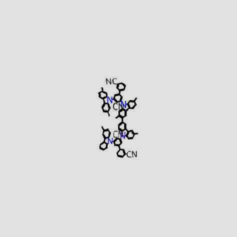 Cc1ccc2c(c1)c1ccccc1n2-c1cc(-c2cccc(C#N)c2)cc(-n2c3ccc(C)cc3c3cc(-c4cc5c6ccc(C)cc6n(-c6cc(-c7cccc(C#N)c7)cc(-n7c8cc(C)ccc8c8ccc(C)cc87)c6C#N)c5cc4C)ccc32)c1C#N